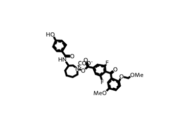 COCOc1ccc(OC)cc1C(=O)c1c(F)cc(C(=O)O[N+]2(C(=O)[O-])CCCCC(NC(=O)c3ccc(O)cc3)C2)cc1F